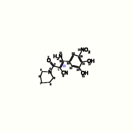 N#C/C(C(=O)N1CCCCC1)=C(/N)c1cc(O)c(O)c([N+](=O)[O-])c1